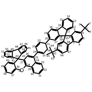 CC(C)(C)c1ccc2c(c1)C1(c3ccccc3-c3ccc(C4C=CC(c5cc6c(c7ccccc57)Oc5ccccc5C65c6ccccc6-c6ccccc65)=CC4)cc31)c1cc(C(C)(C)C)ccc1-2